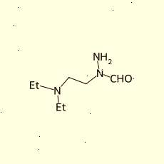 CCN(CC)CCN(N)[C]=O